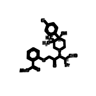 COC(=O)c1ccccc1OCC(=O)N([C@@H](C=O)C(C)C)N1CC[C@](O)(c2ccc(Cl)cc2)C(C)(C)C1